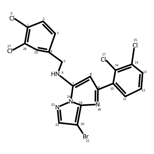 Clc1ccc(CNc2cc(-c3cccc(Cl)c3Cl)nc3c(Br)cnn23)cc1Cl